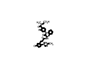 C=N/N=C\N(N)c1ccc(Cl)cc1/C=C/C(=O)N[C@@H](Cc1ccccc1)C(=O)Nc1ccc(C(=O)N(C)CC(=O)O)c(F)c1